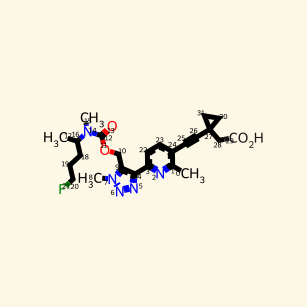 Cc1nc(-c2nnn(C)c2COC(=O)N(C)C(C)CCCF)ccc1C#CC1(CC(=O)O)CC1